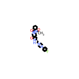 CC(=O)NC1(C(=O)N2CCC3(CC2)C[C@H](CCN2CCN(c4ccc(F)cc4)CC2)NC3=O)CCCCC1